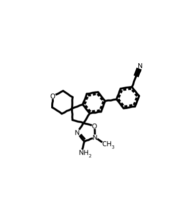 CN1OC2(CC3(CCOCC3)c3ccc(-c4cccc(C#N)c4)cc32)N=C1N